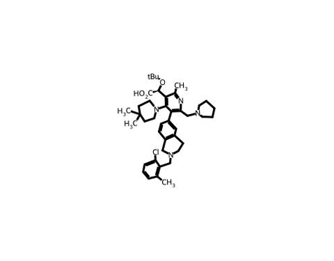 Cc1cccc(Cl)c1CN1CCc2cc(-c3c(CN4CCCCC4)nc(C)c([C@H](OC(C)(C)C)C(=O)O)c3N3CCC(C)(C)CC3)ccc2C1